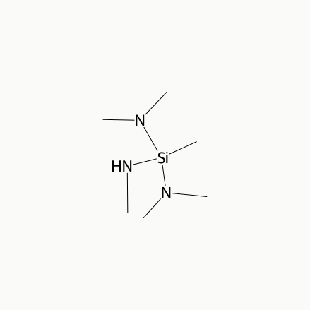 CN[Si](C)(N(C)C)N(C)C